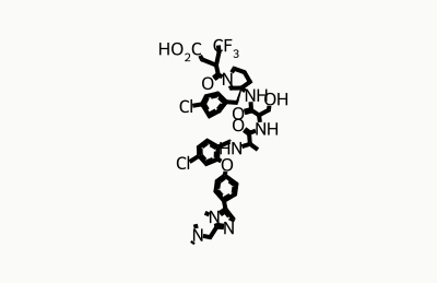 CC(NCc1ccc(Cl)cc1Oc1ccc(-c2cnc(CN(C)C)n2C)cc1)C(=O)NC(CO)C(=O)N[C@@]1(Cc2ccc(Cl)cc2)CCCN(C(=O)C(CC(=O)O)CC(F)(F)F)C1